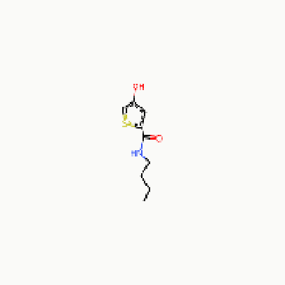 CCCCNC(=O)c1cc(O)cs1